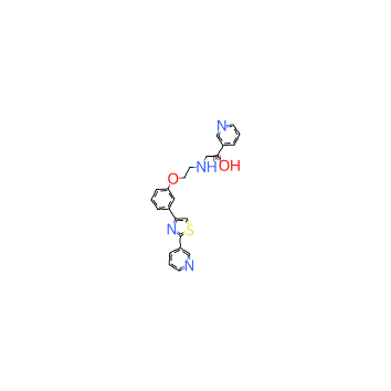 O[C@@H](CNCCOc1cccc(-c2csc(-c3cccnc3)n2)c1)c1cccnc1